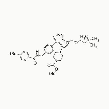 CC(C)(C)OC(=O)N1CC=C(c2cn(COCC[Si](C)(C)C)c3ncnc(-c4ccc(CNC(=O)c5ccc(C(C)(C)C)cc5)cc4)c23)CC1